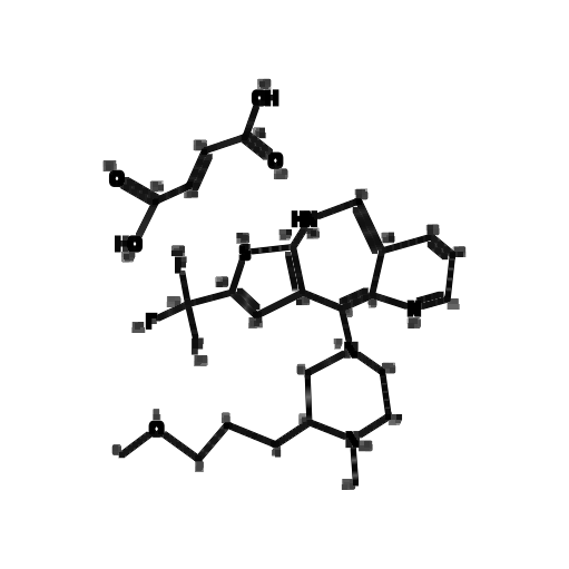 COCCCC1CN(C2=c3ncccc3=CNc3sc(C(F)(F)F)cc32)CCN1C.O=C(O)C=CC(=O)O